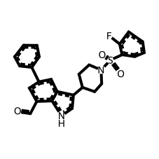 O=Cc1cc(-c2ccccc2)cc2c(C3CCN(S(=O)(=O)c4ccccc4F)CC3)c[nH]c12